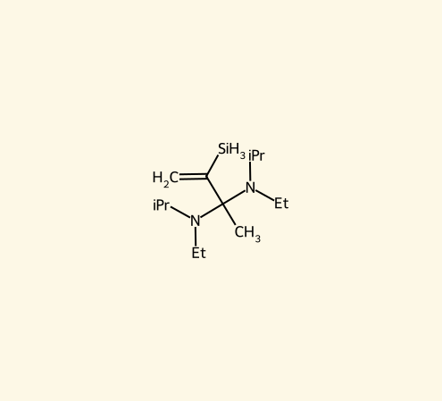 C=C([SiH3])C(C)(N(CC)C(C)C)N(CC)C(C)C